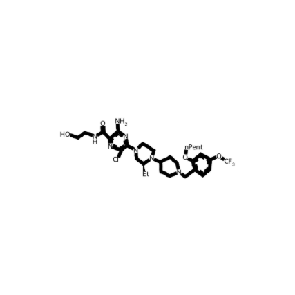 CCCCCOc1cc(OC(F)(F)F)ccc1CN1CCC(N2CCN(c3nc(N)c(C(=O)NCCO)nc3Cl)C[C@@H]2CC)CC1